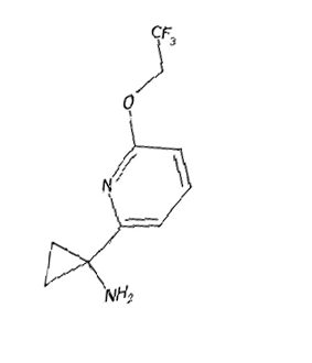 NC1(c2cccc(OCC(F)(F)F)n2)CC1